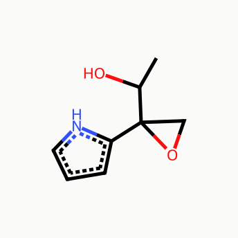 CC(O)C1(c2ccc[nH]2)CO1